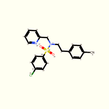 N#Cc1ccc(CCN(Cc2ccccn2)S(=O)(=O)c2ccc(Cl)cc2)cc1